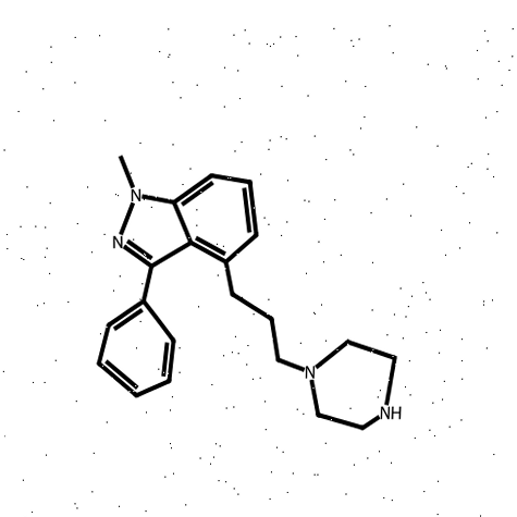 Cn1nc(-c2ccccc2)c2c(CCCN3CCNCC3)cccc21